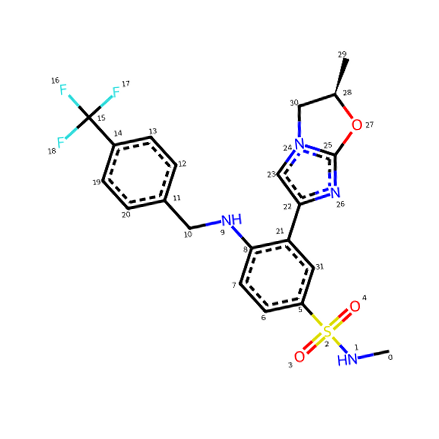 CNS(=O)(=O)c1ccc(NCc2ccc(C(F)(F)F)cc2)c(-c2cn3c(n2)O[C@H](C)C3)c1